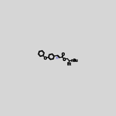 CCCCC(CC)COC(=O)/C=C/c1ccc(Oc2ccccc2)cc1